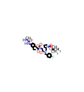 CNC(=O)Nc1ccc2c(c1)CC[C@@]21OC(=O)N(CC(=O)N(Cc2ccc(F)cc2)CC2CCCN2C(=O)OC(C)(C)C)C1=O